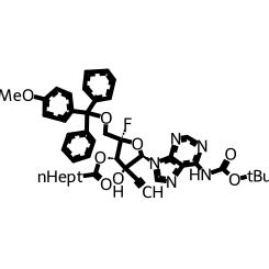 C#C[C@]1(O)[C@H](n2cnc3c(NC(=O)OC(C)(C)C)ncnc32)O[C@](F)(COC(c2ccccc2)(c2ccccc2)c2ccc(OC)cc2)[C@H]1OC(=O)CCCCCCC